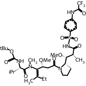 CC/C(C)=C(\[C@@H](CC(=O)N1CCC[C@H]1[C@H](OC)[C@@H](C)C(=O)NS(=O)(=O)c1ccc(NC(=O)C(F)(F)F)cc1)OC)N(C)C(=O)[C@@H](NC(=O)OC(C)(C)C)C(C)C